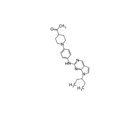 CCC(CC)n1ccc2cnc(Nc3ccc(N4CCC(C(C)=O)CC4)cc3)nc21